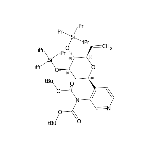 C=C[C@H]1O[C@@H](c2ccncc2N(C(=O)OC(C)(C)C)C(=O)OC(C)(C)C)C[C@@H](O[Si](C(C)C)(C(C)C)C(C)C)[C@@H]1O[Si](C(C)C)(C(C)C)C(C)C